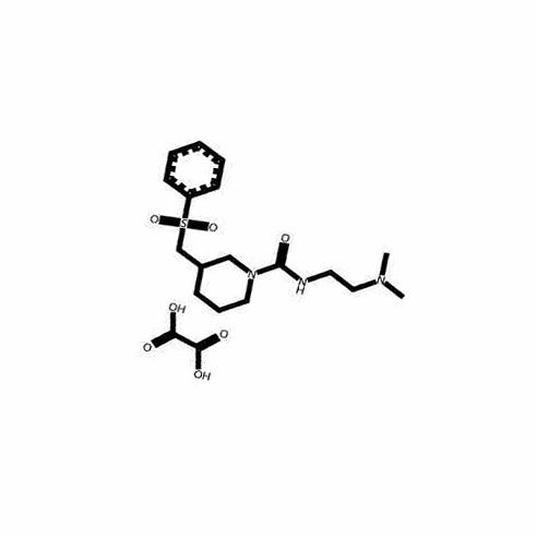 CN(C)CCNC(=O)N1CCCC(CS(=O)(=O)c2ccccc2)C1.O=C(O)C(=O)O